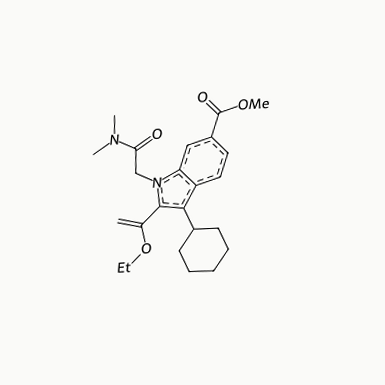 C=C(OCC)c1c(C2CCCCC2)c2ccc(C(=O)OC)cc2n1CC(=O)N(C)C